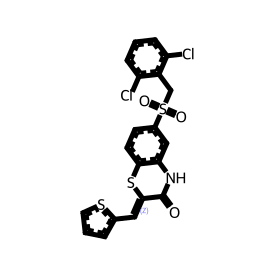 O=C1Nc2cc(S(=O)(=O)Cc3c(Cl)cccc3Cl)ccc2S/C1=C\c1cccs1